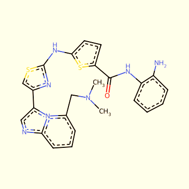 CN(C)Cc1cccc2ncc(-c3csc(Nc4ccc(C(=O)Nc5ccccc5N)s4)n3)n12